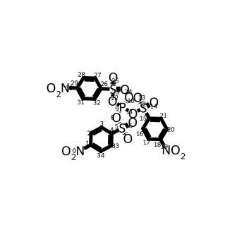 O=[N+]([O-])c1ccc(S(=O)(=O)OP(=O)(OS(=O)(=O)c2ccc([N+](=O)[O-])cc2)OS(=O)(=O)c2ccc([N+](=O)[O-])cc2)cc1